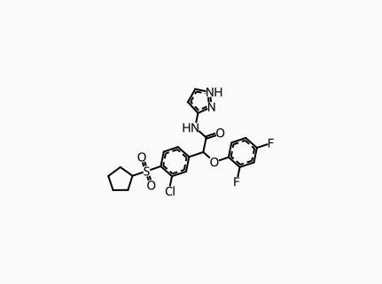 O=C(Nc1cc[nH]n1)C(Oc1ccc(F)cc1F)c1ccc(S(=O)(=O)C2CCCC2)c(Cl)c1